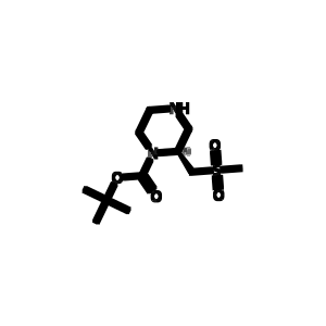 CC(C)(C)OC(=O)N1CCNC[C@H]1CS(C)(=O)=O